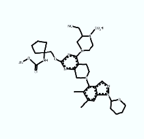 Cc1cc2c(cnn2C2CCCCO2)c(N2CCc3c(nc(OCC4(NC(=O)OC(C)(C)C)CCCC4)nc3N3CCN(C(=O)O)C(CC#N)C3)C2)c1C